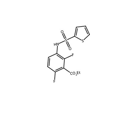 CCOC(=O)c1c(F)ccc(NS(=O)(=O)c2cccs2)c1F